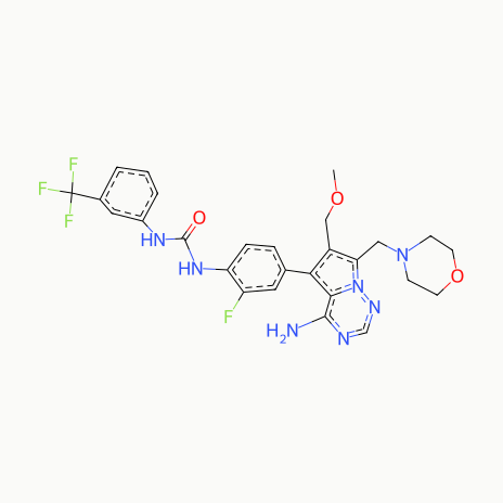 COCc1c(-c2ccc(NC(=O)Nc3cccc(C(F)(F)F)c3)c(F)c2)c2c(N)ncnn2c1CN1CCOCC1